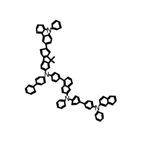 CC1(C)c2cc(-c3ccc4c(c3)c3ccccc3n4-c3ccccc3)ccc2-c2ccc(N(c3ccc(-c4ccccc4)cc3)c3ccc(-c4cccc5cc(N(c6ccccc6)c6ccc(-c7ccc(N(c8ccccc8)c8ccc9ccccc9c8)cc7)cc6)ccc45)cc3)cc21